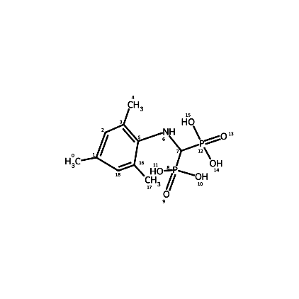 Cc1cc(C)c(NC(P(=O)(O)O)P(=O)(O)O)c(C)c1